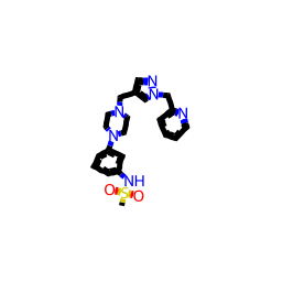 CS(=O)(=O)Nc1cccc(N2CCN(Cc3cnn(Cc4ccccn4)c3)CC2)c1